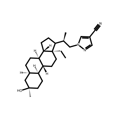 CC[C@]12CC[C@H]3[C@@H](CC[C@@H]4C[C@](C)(O)CC[C@@H]43)[C@@H]1CCC2[C@@H](C)Cn1cc(C#N)cn1